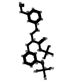 CC(C)(C)OC(=O)N(COc1cccc(CO)c1)Cc1cccc(OC(F)(F)F)c1